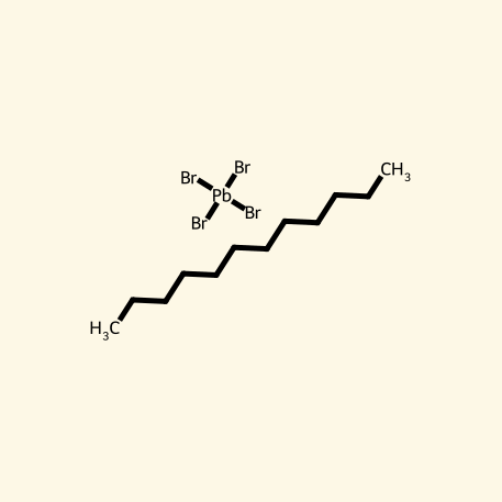 CCCCCCCCCCCC.[Br][Pb]([Br])([Br])[Br]